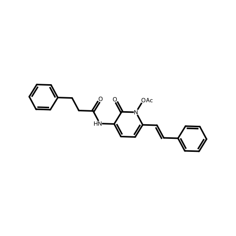 CC(=O)On1c(C=Cc2ccccc2)ccc(NC(=O)CCc2ccccc2)c1=O